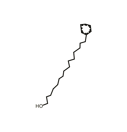 OCCCCCCCCCCCCCCCc1ccccc1